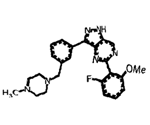 COc1cccc(F)c1-c1ncc2[nH]nc(-c3cccc(CN4CCN(C)CC4)c3)c2n1